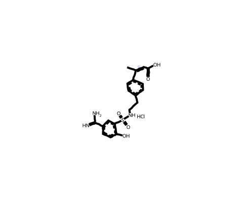 C/C(=C/C(=O)O)c1ccc(CCNS(=O)(=O)c2cc(C(=N)N)ccc2O)cc1.Cl